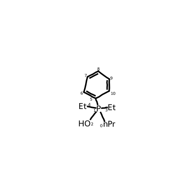 CCCP(O)(CC)(CC)c1ccccc1